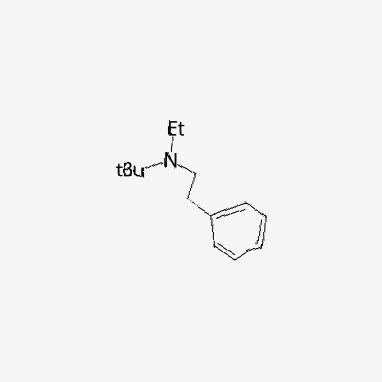 CCN(CCc1ccccc1)C(C)(C)C